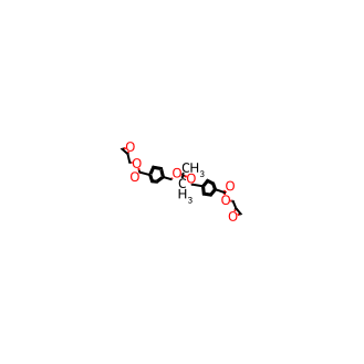 CC(C)(OCc1ccc(C(=O)OCC2CO2)cc1)OCc1ccc(C(=O)OCC2CO2)cc1